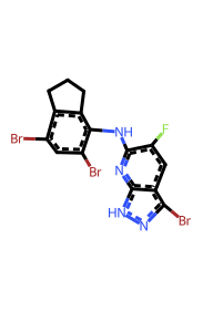 Fc1cc2c(Br)n[nH]c2nc1Nc1c(Br)cc(Br)c2c1CCC2